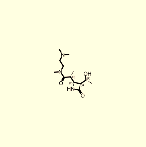 C[C@@H](O)[C@H]1C(=O)N[C@@H]1[C@@H](C)C(=O)N(C)CCN(C)C